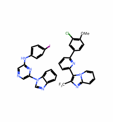 COc1ccc(-c2cccc(-c3c(C(F)(F)F)nc4ccccn34)n2)cc1Cl.Ic1ccc(Nc2cncc(-n3cnc4ccccc43)n2)cc1